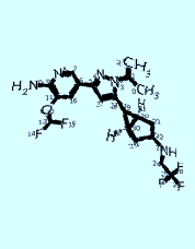 CC(C)n1nc(-c2cnc(N)c(OC(F)F)c2)cc1C1[C@H]2CC(NCC(F)(F)F)C[C@@H]12